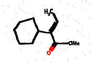 C/C=C(/C(=O)OC)C1CCCCC1